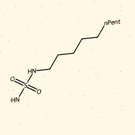 CCCCCCCCCCNS([NH])(=O)=O